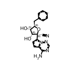 N#C[C@@]1(c2ccc3c(N)ncnn23)O[C@H](Cc2cc[c]cc2)[C@@H](O)[C@H]1O